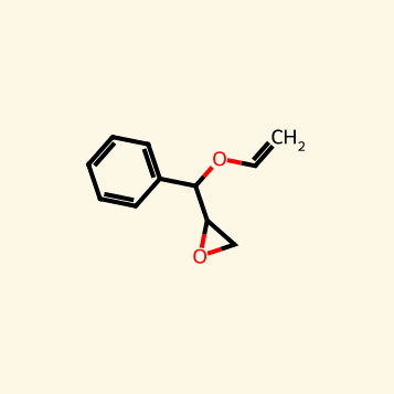 C=COC(c1ccccc1)C1CO1